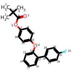 CC(C)(C)C(=O)Oc1ccc(Oc2ccccc2-c2ccc(F)cc2)cc1